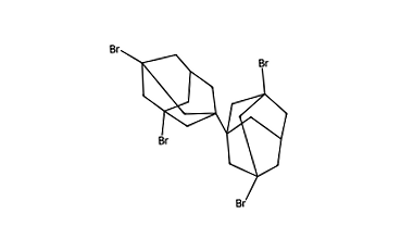 BrC12CC3CC(Br)(C1)CC(C14CC5CC(Br)(CC(Br)(C5)C1)C4)(C3)C2